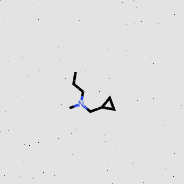 CCCN(C)CC1CC1